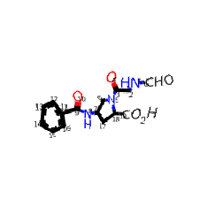 O=CNCC(=O)N1CC(NC(=O)c2ccccc2)CC1C(=O)O